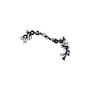 C=N/C(=C\C(=C/C)c1nc(C(=O)Nc2cn(-c3ccc(CNCCOCCOCCN4CCN(c5ccc6c(c5)C(=O)N(C5CCC(=O)NC5=O)C6=O)CC4)cc3)nc2C(F)F)co1)NCC1CC1